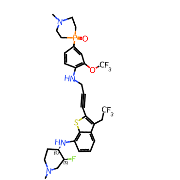 CN1CCP(=O)(c2ccc(NCC#Cc3sc4c(N[C@H]5CCN(C)C[C@@H]5F)cccc4c3CC(F)(F)F)c(OC(F)(F)F)c2)CC1